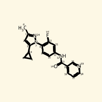 Cc1cc(C2CC2)n(-c2ccc(NC(=O)c3cccnc3)cc2F)n1